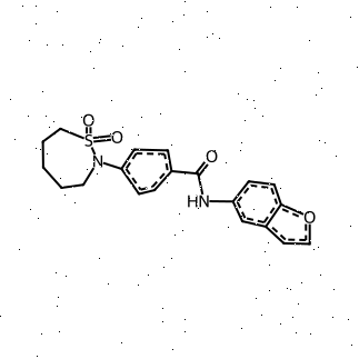 O=C(Nc1ccc2occc2c1)c1ccc(N2CCCCCS2(=O)=O)cc1